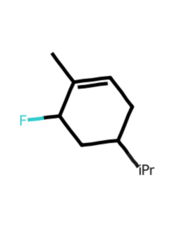 CC1=CCC(C(C)C)CC1F